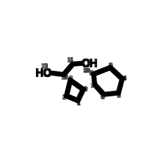 C1CCC1.C1CCCCC1.OCCO